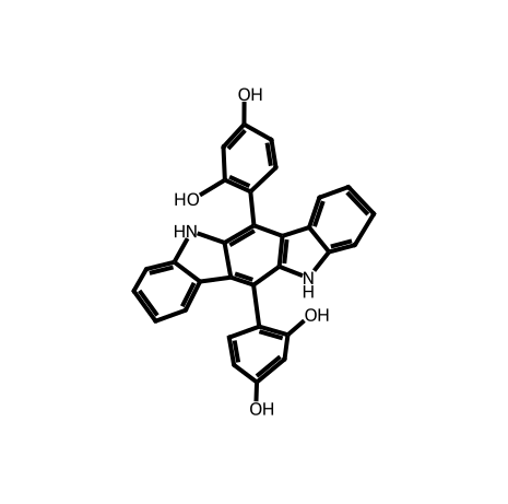 Oc1ccc(-c2c3[nH]c4ccccc4c3c(-c3ccc(O)cc3O)c3[nH]c4ccccc4c23)c(O)c1